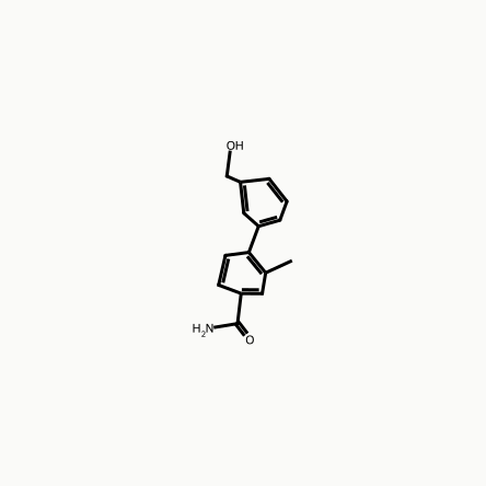 Cc1cc(C(N)=O)ccc1-c1cccc(CO)c1